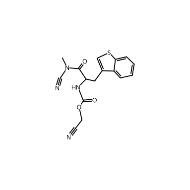 CN(C#N)C(=O)C(Cc1csc2ccccc12)NC(=O)OCC#N